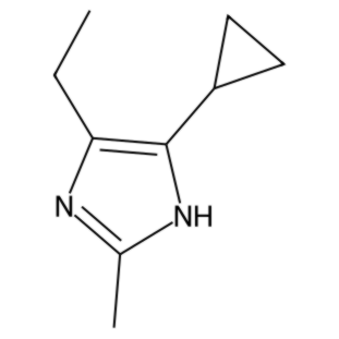 CCc1nc(C)[nH]c1C1CC1